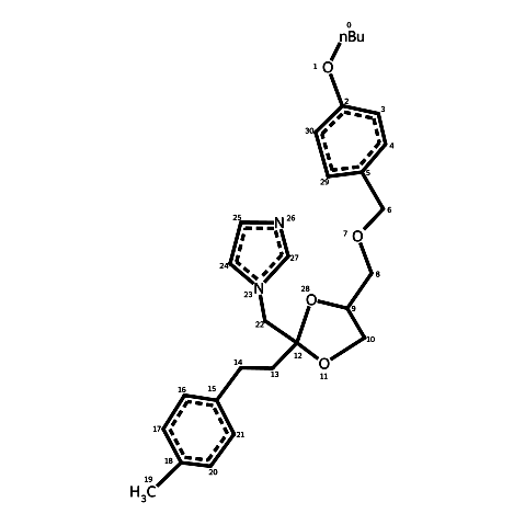 CCCCOc1ccc(COCC2COC(CCc3ccc(C)cc3)(Cn3ccnc3)O2)cc1